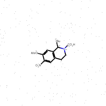 COc1cc2c(cc1[N+](=O)[O-])CCN(C(=O)O)C2C(C)(C)C